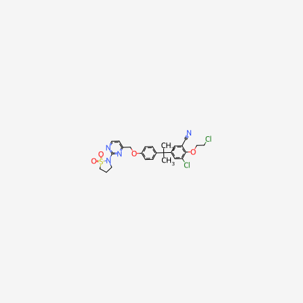 CC(C)(c1ccc(OCc2ccnc(N3CCCS3(=O)=O)n2)cc1)c1cc(Cl)c(OCCCl)c(C#N)c1